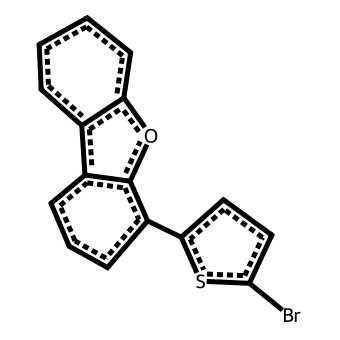 Brc1ccc(-c2cccc3c2oc2ccccc23)s1